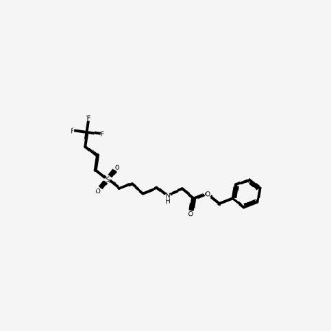 O=C(CNCCCCS(=O)(=O)CCCC(F)(F)F)OCc1ccccc1